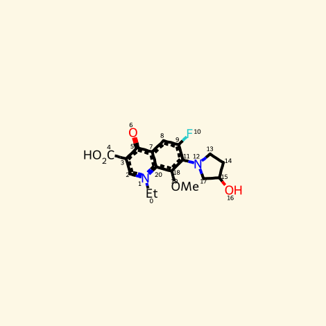 CCn1cc(C(=O)O)c(=O)c2cc(F)c(N3CCC(O)C3)c(OC)c21